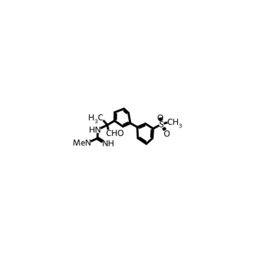 CNC(=N)NC(C)(C=O)c1cccc(-c2cccc(S(C)(=O)=O)c2)c1